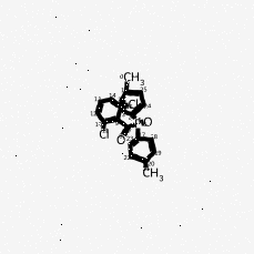 Cc1ccc(P(=O)(C(=O)c2c(Cl)cccc2Cl)c2ccc(C)cc2)cc1